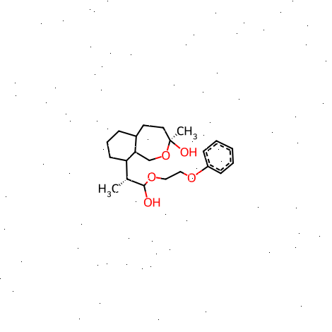 C[C@@H](C(O)OCCOc1ccccc1)C1CCCC2CC[C@@](C)(O)OCC21